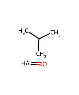 C[C](C)C.[O]=[AlH]